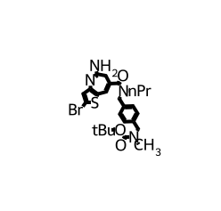 CCCN(Cc1ccc(CN(C)C(=O)OC(C)(C)C)cc1)C(=O)C1=Cc2sc(Br)cc2N=C(N)C1